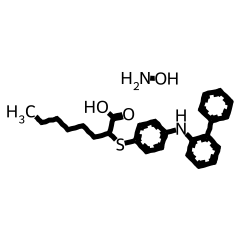 CCCCCCC(Sc1ccc(Nc2ccccc2-c2ccccc2)cc1)C(=O)O.NO